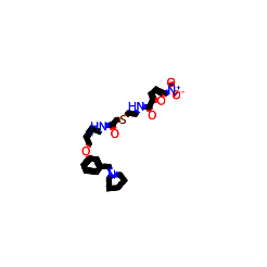 O=C(CSCCNC(=O)c1ccc([N+](=O)[O-])o1)NC/C=C\COc1cccc(CN2CCCCC2)c1